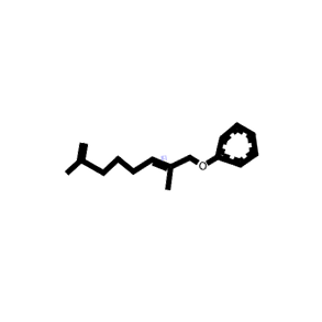 C=C(C)CCC/C=C(\C)COc1ccccc1